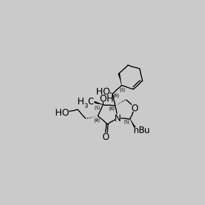 CCCC[C@@H]1OC[C@]2([C@H](O)[C@@H]3C=CCCC3)N1C(=O)[C@H](CCO)[C@]2(C)O